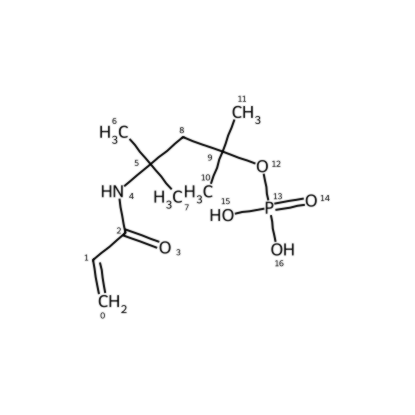 C=CC(=O)NC(C)(C)CC(C)(C)OP(=O)(O)O